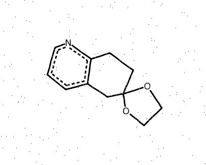 [c]1cnc2c(c1)CC1(CC2)OCCO1